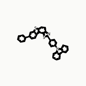 c1ccc(-c2ccc3c(c2)sc2ccc4nc(-c5ccc(-n6c7ccccc7c7ccccc76)cc5)sc4c23)cc1